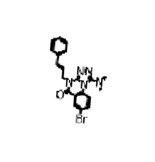 CN(C)c1nnc2n(CC=Cc3ccccc3)c(=O)c3cc(Br)ccc3n12